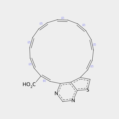 O=C(O)C1=C\c2ncnc3scc(c23)\C=C/C=C\C=C/C=C\C=C/C=C\C=C/1